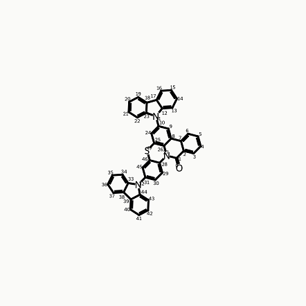 O=c1c2ccccc2c2cc(-n3c4ccccc4c4ccccc43)cc3c2n1-c1ccc(-n2c4ccccc4c4ccccc42)cc1S3